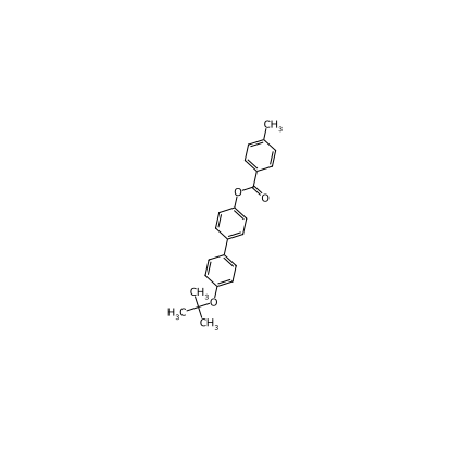 Cc1ccc(C(=O)Oc2ccc(-c3ccc(OC(C)(C)C)cc3)cc2)cc1